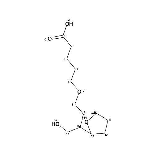 O=C(O)CCCCOCC1C2CCC(O2)C1CO